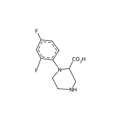 O=C(O)C1CNCCN1c1ccc(F)cc1F